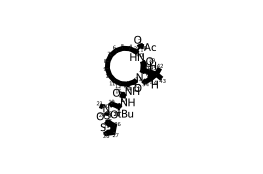 CC(=O)C(=O)[C@@H]1CCCCCCCCC[C@H](NC(=O)N[C@H](CN(C)S(=O)(=O)c2cccs2)C(C)(C)C)C(=O)N2C[C@H]3[C@@H]([C@H]2C(=O)N1)C3(C)C